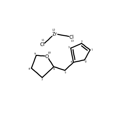 [CH]1C=CC=C1CC1CCCO1.[Cl][Zr][Cl]